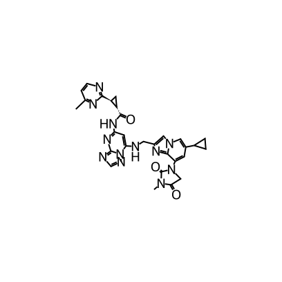 Cc1ccnc([C@H]2C[C@@H]2C(=O)Nc2cc(NCc3cn4cc(C5CC5)cc(N5CC(=O)N(C)C5=O)c4n3)n3ncnc3n2)n1